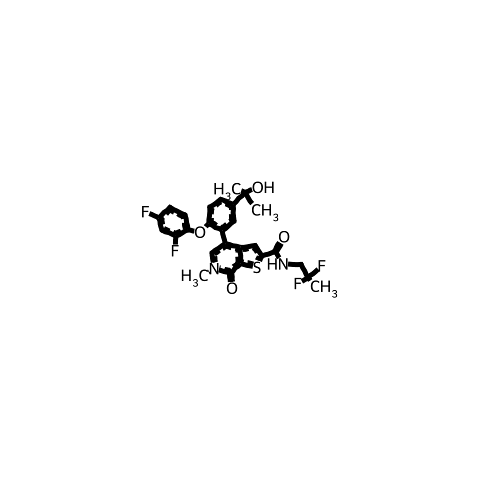 Cn1cc(-c2cc(C(C)(C)O)ccc2Oc2ccc(F)cc2F)c2cc(C(=O)NCC(C)(F)F)sc2c1=O